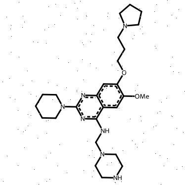 COc1cc2c(NCN3CCNCC3)nc(N3CCCCC3)nc2cc1OCCCN1CCCC1